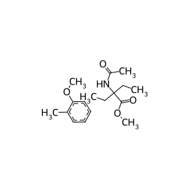 CCC(CC)(NC(C)=O)C(=O)OC.COc1ccccc1C